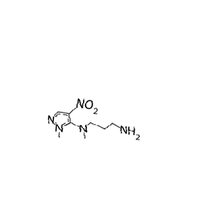 CN(CCCN)c1c([N+](=O)[O-])cnn1C